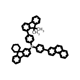 CC1(C)c2ccccc2-c2cccc(-c3ccc(N(c4ccc(-c5ccc6c(ccc7ccccc76)c5)cc4)c4ccc5c(c4)C4(CCCCC4)c4ccccc4-5)cc3)c21